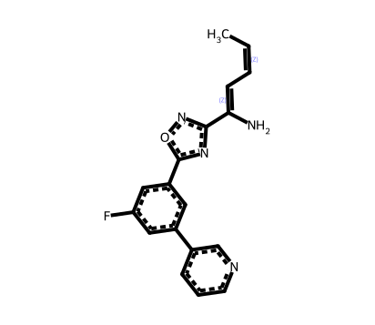 C/C=C\C=C(/N)c1noc(-c2cc(F)cc(-c3cccnc3)c2)n1